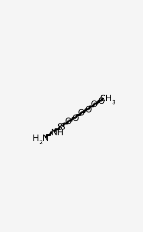 COCCOCCOCCOCCOCCOCCSSCCNCCCN